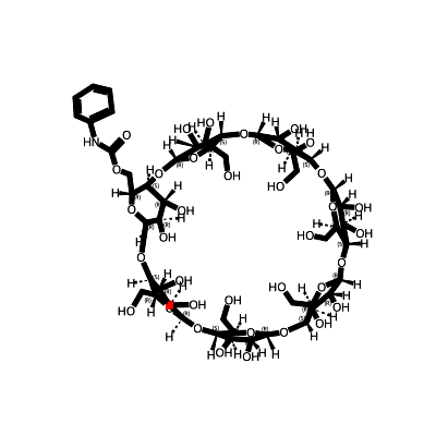 O=C(Nc1ccccc1)OC[C@H]1O[C@@H]2O[C@H]3[C@H](O)[C@@H](O)[C@@H](O[C@H]4[C@H](O)[C@@H](O)[C@@H](O[C@H]5[C@H](O)[C@@H](O)[C@@H](O[C@H]6[C@H](O)[C@@H](O)[C@@H](O[C@H]7[C@H](O)[C@@H](O)[C@@H](O[C@H]8[C@H](O)[C@@H](O)[C@@H](O[C@H]1[C@H](O)[C@H]2O)O[C@@H]8CO)O[C@@H]7CO)O[C@@H]6CO)O[C@@H]5CO)O[C@@H]4CO)O[C@@H]3CO